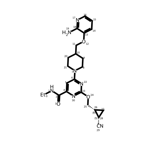 CCNC(=O)c1cc(N2CCC(COc3cccnc3N)CC2)nc(OC[C@@H]2C[C@@H]2C#N)n1